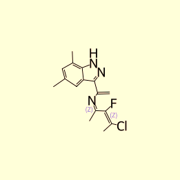 C=C(/N=C(C)\C(F)=C(/C)Cl)c1n[nH]c2c(C)cc(C)cc12